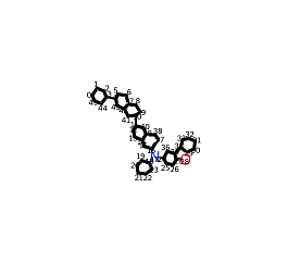 c1ccc(-c2ccc3ccc(-c4ccc5cc(N(c6ccccc6)c6ccc7oc8ccccc8c7c6)ccc5c4)cc3c2)cc1